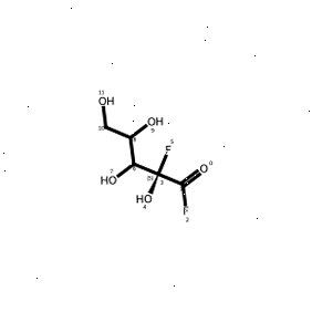 O=C(F)[C@@](O)(F)C(O)C(O)CO